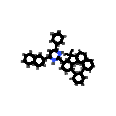 CC1(C)c2ccc3cccc4c3c2-c2c(ccc(-c3nc(-c5ccccc5)cc(-c5ccc6ccccc6c5)n3)c21)-c1ccccc1-4